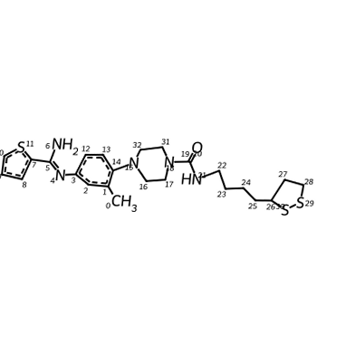 Cc1cc(N=C(N)c2cccs2)ccc1N1CCN(C(=O)NCCCCC2CCSS2)CC1